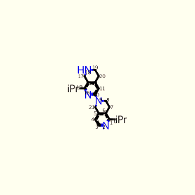 CC(C)c1nccc2c1CCN(c1cc3c(c(C(C)C)n1)CNCC3)C2